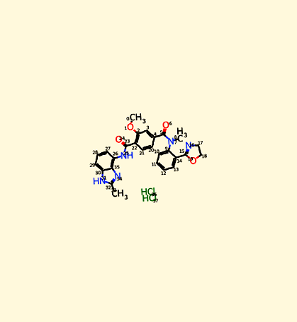 COc1cc(C(=O)N(C)c2ccccc2C2=NCCO2)ccc1C(=O)Nc1cccc2[nH]c(C)nc12.Cl.Cl